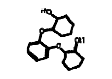 OC1CCCCC1Oc1ccccc1OC1CCCCC1O